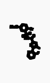 COc1ccc(Br)c(S(=O)(=O)NC(=O)c2cn(C)c(-c3ncccc3F)n2)c1